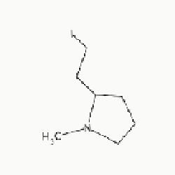 CN1CCCC1CCI